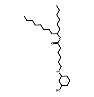 CCCCCCCCC(CCCCCC)OC(=O)CCCCCNC1CCCC(O)C1